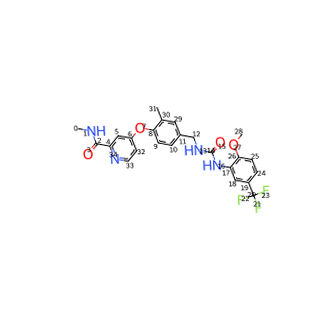 CNC(=O)c1cc(Oc2ccc(CNC(=O)Nc3cc(C(F)(F)F)ccc3OC)cc2C)ccn1